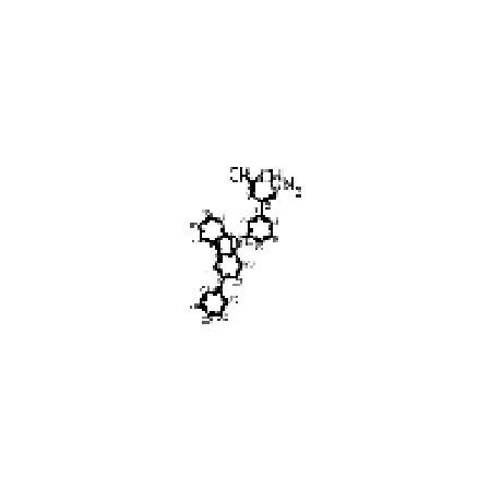 C/C=C(\C=C(/C)Cl)c1cccc(-n2c3ccccc3c3cc(-c4ccccc4)ccc32)c1